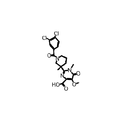 COc1c(C(=O)O)nc(C2(C)CCCN(C(=O)c3ccc(Cl)c(Cl)c3)C2)n(C)c1=O